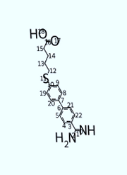 N=C(N)c1ccc(-c2ccc(SCCCCC(=O)O)cc2)cc1